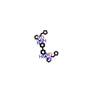 O=C(CC1CCCC1)N1CCC[C@H]1c1nc2cc(-c3ccc4[nH]c([C@@H]5CCCN5C(=O)CC5CCCC5)nc4c3)ccc2[nH]1